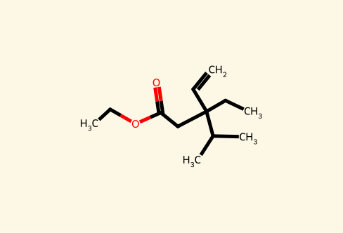 C=CC(CC)(CC(=O)OCC)C(C)C